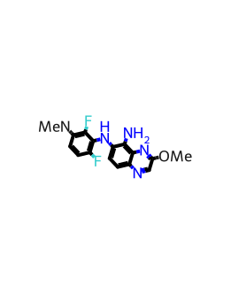 CNc1ccc(F)c(Nc2ccc3ncc(OC)nc3c2N)c1F